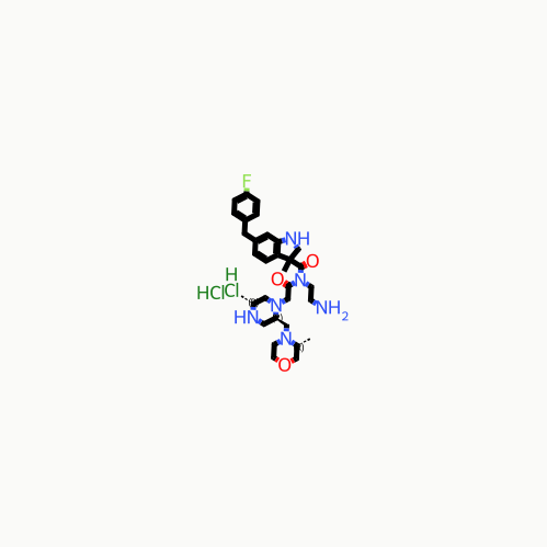 C[C@@H]1CN(CC(=O)N(CCN)C(=O)C2(C)CNc3cc(Cc4ccc(F)cc4)ccc32)[C@@H](CN2CCOC[C@H]2C)CN1.Cl.Cl